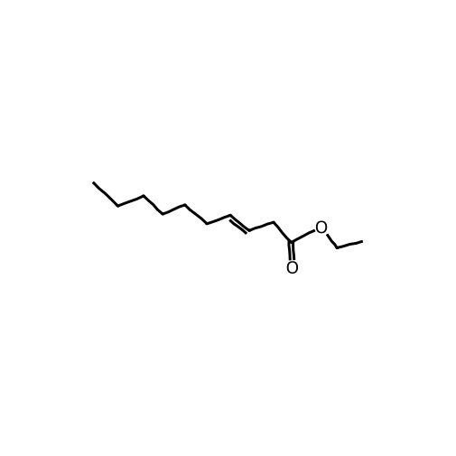 CCCCCC/C=C/CC(=O)OCC